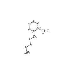 CC(C)CCCOc1ccccc1C=O